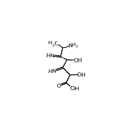 CC(N)C(=N)C(O)C(=N)C(O)C(=O)O